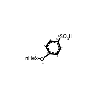 CCCCCCOc1ccc(S(=O)(=O)O)cc1